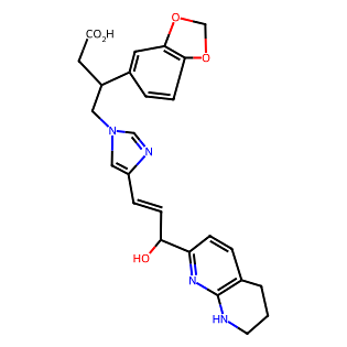 O=C(O)CC(Cn1cnc(C=CC(O)c2ccc3c(n2)NCCC3)c1)c1ccc2c(c1)OCO2